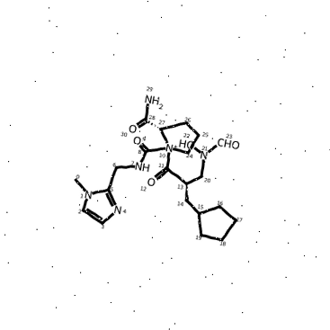 Cn1ccnc1CNC(=O)[N+]1(C(=O)[C@H](CC2CCCC2)CN(O)C=O)CCC[C@H]1C(N)=O